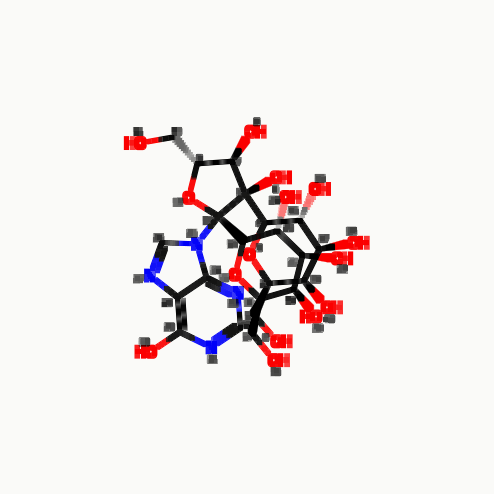 OC[C@H]1OC([C@@]2(O)[C@H](O)[C@@H](CO)O[C@@]2(C2O[C@H](CO)[C@H](O)[C@H](O)[C@H]2O)n2cnc3c(O)ncnc32)[C@H](O)[C@@H](O)[C@H]1O